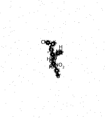 C[C@@H]1CN(CC2=C(c3ccc(Cl)cc3)CC(C)(C)CC2)CCN1c1ccc(C(=O)NS(=O)(=O)c2cc(F)c(NCC3CCN(C4COC4)CC3)c([N+](=O)[O-])c2)c(Oc2cnc3[nH]ccc3c2)c1